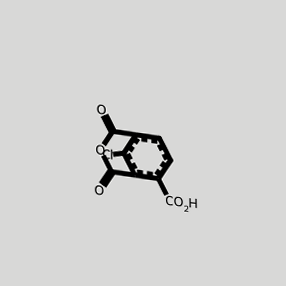 O=C1OC(=O)c2c(C(=O)O)ccc1c2Cl